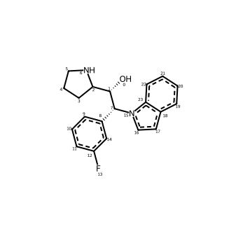 O[C@@H](C1CCCN1)[C@@H](c1cccc(F)c1)n1ccc2ccccc21